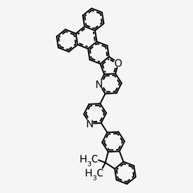 CC1(C)c2ccccc2-c2ccc(-c3cc(-c4ccc5oc6cc7c8ccccc8c8ccccc8c7cc6c5n4)ccn3)cc21